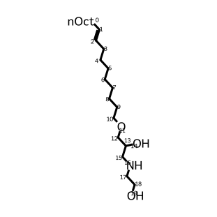 CCCCCCCCC=CCCCCCCCCOCC(O)CNCCO